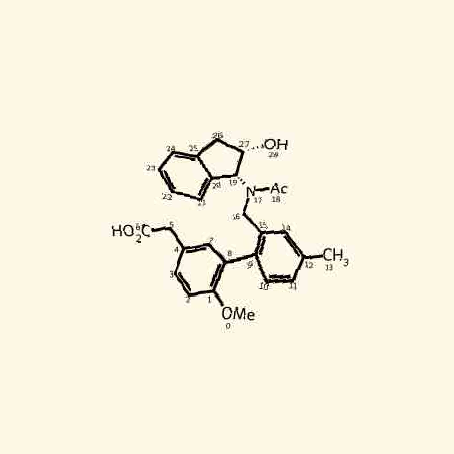 COc1ccc(CC(=O)O)cc1-c1ccc(C)cc1CN(C(C)=O)[C@@H]1c2ccccc2C[C@@H]1O